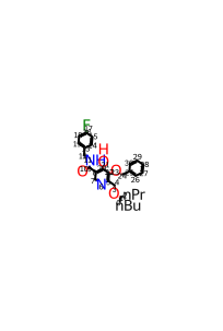 CCCCC(CCC)OCc1ncc(C(=O)NCc2ccc(F)cc2)c(O)c1OCc1ccccc1